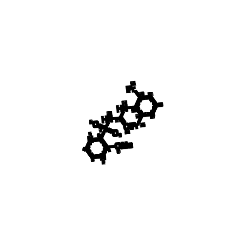 COc1nccnc1S(=O)(=O)NC(=O)Nc1c(C(C)C)cccc1C(C)C